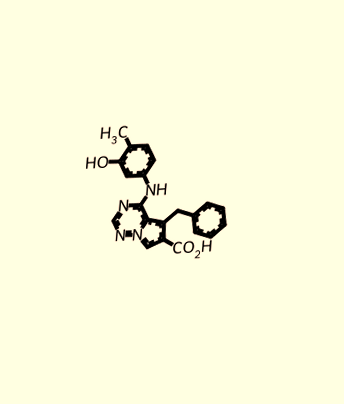 Cc1ccc(Nc2ncnn3cc(C(=O)O)c(Cc4ccccc4)c23)cc1O